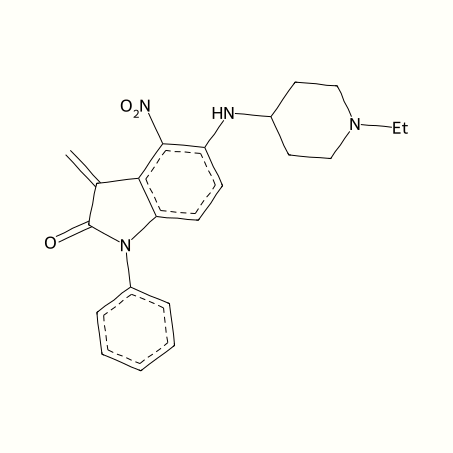 C=C1C(=O)N(c2ccccc2)c2ccc(NC3CCN(CC)CC3)c([N+](=O)[O-])c21